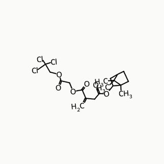 C=C(CC(=O)OC1CC2CCC1(C)C2(C)C)C(=O)OCC(=O)OCC(Cl)(Cl)Cl